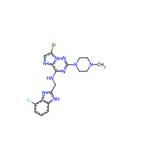 CN1CCN(c2nc(NCc3nc4c(F)cccc4[nH]3)c3ncc(Br)n3n2)CC1